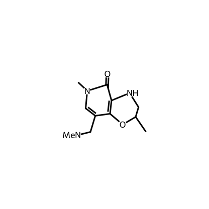 CNCc1cn(C)c(=O)c2c1OC(C)CN2